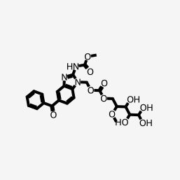 COC(=O)Nc1nc2cc(C(=O)c3ccccc3)ccc2n1COC(=O)OCC(OC)C(O)C(O)C(O)O